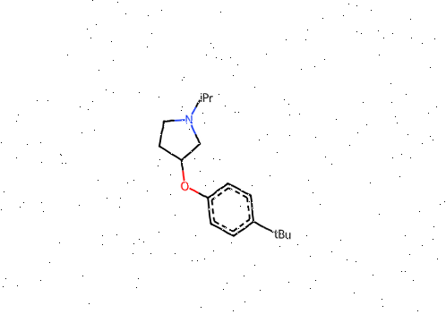 CC(C)N1CCC(Oc2ccc(C(C)(C)C)cc2)C1